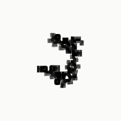 Nc1nc(NCCN2CCN(c3cc(C(=O)NC[C@@H](O)CO)c(F)cc3F)CC2)nc2cc(-c3ccco3)nn12